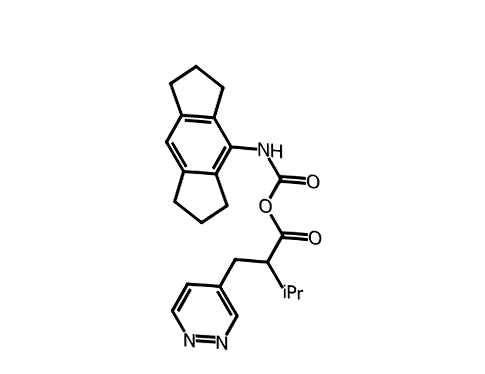 CC(C)C(Cc1ccnnc1)C(=O)OC(=O)Nc1c2c(cc3c1CCC3)CCC2